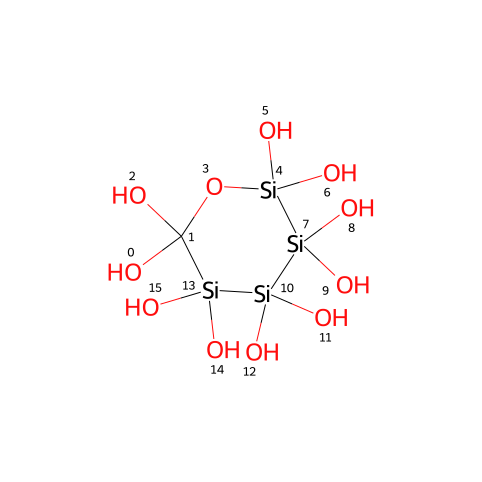 OC1(O)O[Si](O)(O)[Si](O)(O)[Si](O)(O)[Si]1(O)O